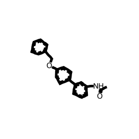 CC(=O)Nc1cccc(-c2ccc(OCc3ccccc3)cc2)c1